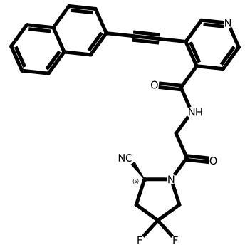 N#C[C@@H]1CC(F)(F)CN1C(=O)CNC(=O)c1ccncc1C#Cc1ccc2ccccc2c1